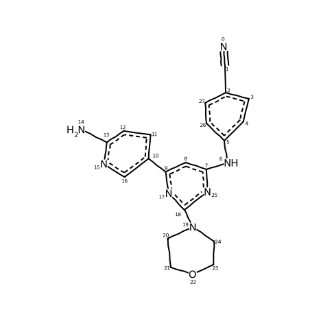 N#Cc1ccc(Nc2cc(-c3ccc(N)nc3)nc(N3CCOCC3)n2)cc1